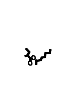 CCCCCCC(C)OC(=O)C(C)CC